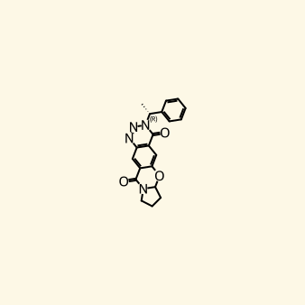 C[C@H](c1ccccc1)n1nnc2cc3c(cc2c1=O)OC1CCCN1C3=O